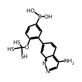 Nc1cnnc2cc(-c3cc(B(O)O)ccc3OC(S)(S)S)ccc12